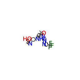 CC(C)[C@]1(C(=O)N2CCN(c3cc(C(F)(F)F)ccn3)CC2)CC[C@@H](NC2CCC(O)(C3=NCCS3)CC2)C1